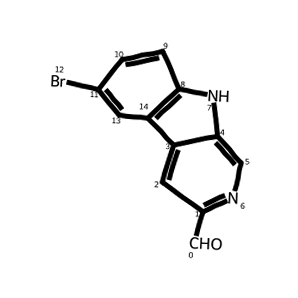 O=Cc1cc2c(cn1)[nH]c1ccc(Br)cc12